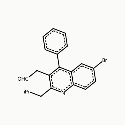 CC(C)Cc1nc2ccc(Br)cc2c(-c2ccccc2)c1CC=O